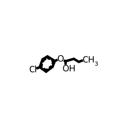 CCCC(O)Oc1ccc(Cl)cc1